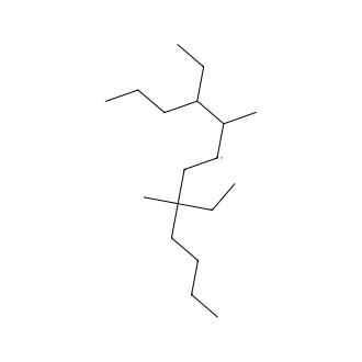 CCCCC(C)(CC)C[CH]C(C)C(CC)CCC